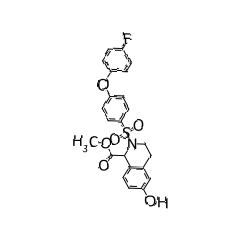 COC(=O)C1c2ccc(O)cc2CCN1S(=O)(=O)c1ccc(Oc2ccc(F)cc2)cc1